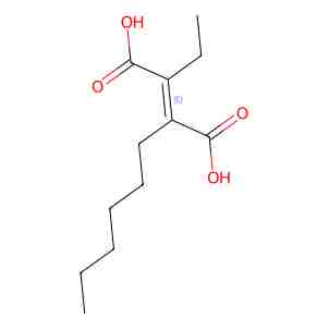 CCCCCC/C(C(=O)O)=C(/CC)C(=O)O